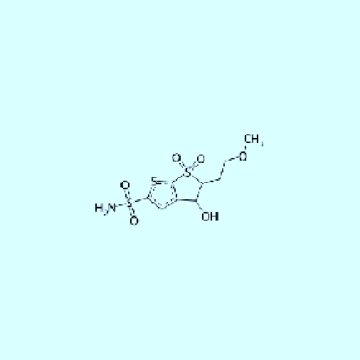 COCCC1C(O)c2cc(S(N)(=O)=O)sc2S1(=O)=O